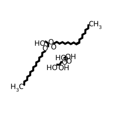 CCCCCCCC/C=C\CCCCCCCC(=O)OC(CO)COCCCCCCCCCCCCCCCC.O=P(O)(O)OCC(O)CO